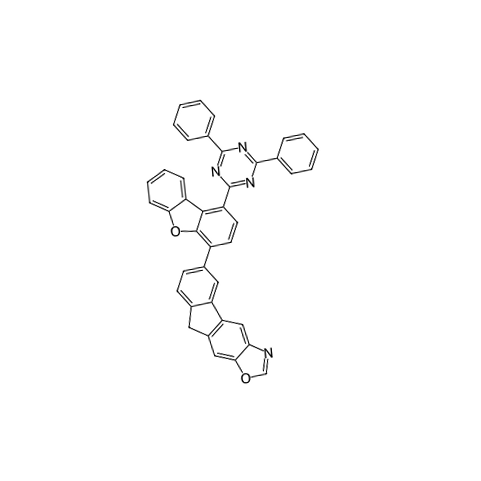 c1ccc(-c2nc(-c3ccccc3)nc(-c3ccc(-c4ccc5c(c4)-c4cc6ncoc6cc4C5)c4oc5ccccc5c34)n2)cc1